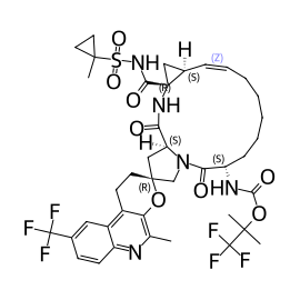 Cc1nc2ccc(C(F)(F)F)cc2c2c1O[C@]1(CC2)C[C@H]2C(=O)N[C@]3(C(=O)NS(=O)(=O)C4(C)CC4)C[C@H]3/C=C\CCCCC[C@H](NC(=O)OC(C)(C)C(F)(F)F)C(=O)N2C1